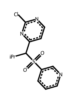 CC(C)C(c1ccnc(Cl)n1)S(=O)(=O)c1cccnc1